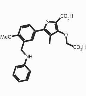 COc1ccc(-c2sc(C(=O)O)c(OCC(=O)O)c2C)cc1CNc1ccccc1